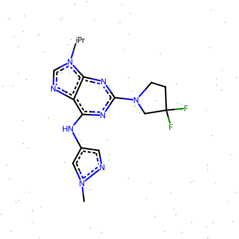 CC(C)n1cnc2c(Nc3cnn(C)c3)nc(N3CCC(F)(F)C3)nc21